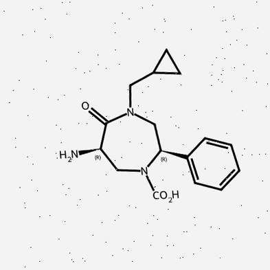 N[C@@H]1CN(C(=O)O)[C@H](c2ccccc2)CN(CC2CC2)C1=O